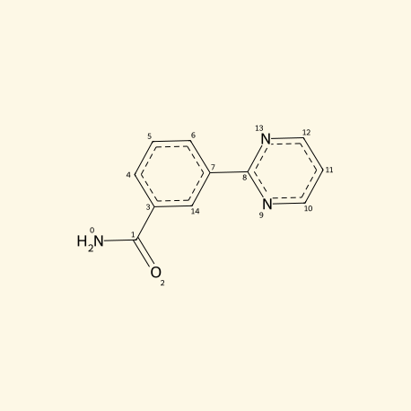 NC(=O)c1cccc(-c2ncccn2)c1